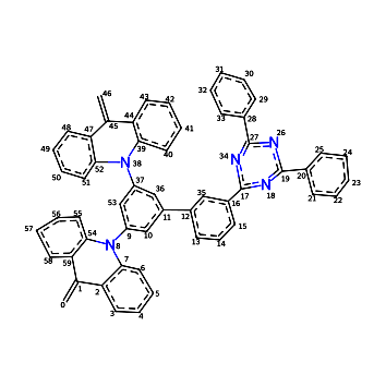 C=C1c2ccccc2N(c2cc(-c3cccc(-c4nc(-c5ccccc5)nc(-c5ccccc5)n4)c3)cc(N3c4ccccc4C(=C)c4ccccc43)c2)c2ccccc21